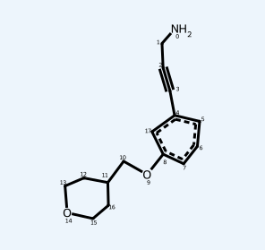 NCC#Cc1cccc(OCC2CCOCC2)c1